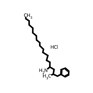 CCCCCCCCCCCCCCCC(N)CC(C)Cc1ccccc1.Cl